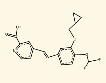 O=C(O)c1cc(C=Cc2ccc(OC(F)F)c(OCC3CC3)c2)ccn1